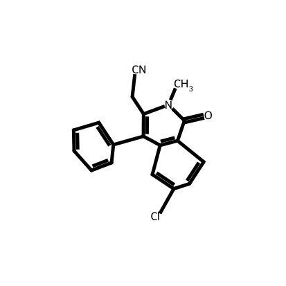 Cn1c(CC#N)c(-c2ccccc2)c2cc(Cl)ccc2c1=O